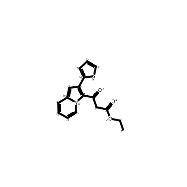 CCOC(=O)CC(=O)c1c(-c2cccs2)cc2ccccn12